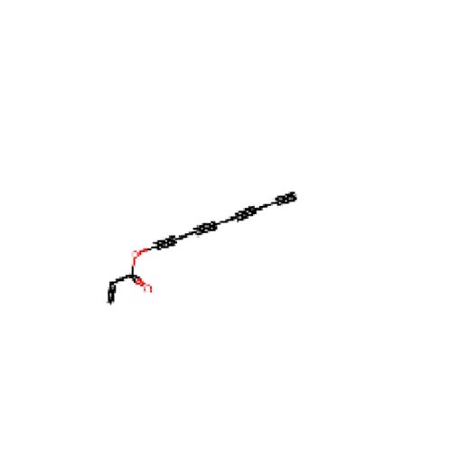 C#CC#CC#CC#COC(=O)C=C